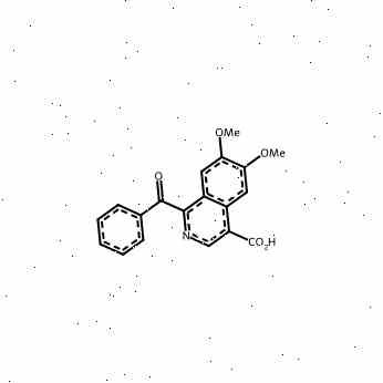 COc1cc2c(C(=O)O)cnc(C(=O)c3ccccc3)c2cc1OC